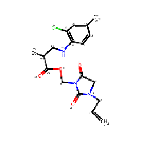 C=CCN1CC(=O)N(COC(=O)C(CC)CNc2ccc(C(F)(F)F)cc2Cl)C1=O